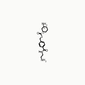 NCCN(I)C(=O)c1ccc(CSC(=O)[C@H]2CCC[C@H](N)C2)cc1